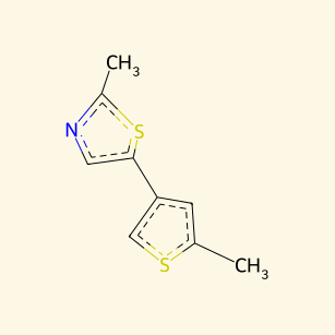 Cc1cc(-c2cnc(C)s2)cs1